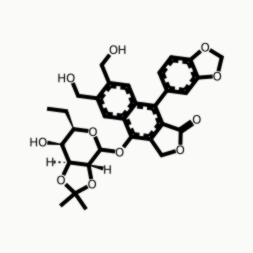 CC[C@H]1OC(Oc2c3c(c(-c4ccc5c(c4)OCO5)c4cc(CO)c(CO)cc24)C(=O)OC3)[C@@H]2OC(C)(C)O[C@H]2[C@H]1O